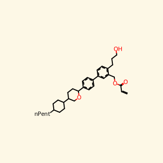 C=CC(=O)OCc1cc(-c2ccc(C3CCC(C4CCC(CCCCC)CC4)CO3)cc2)ccc1CCCO